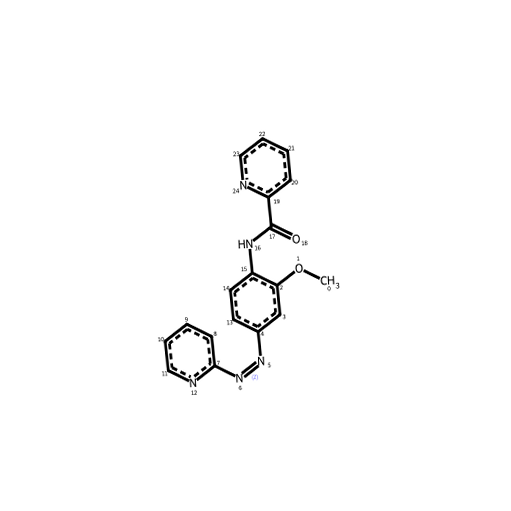 COc1cc(/N=N\c2ccccn2)ccc1NC(=O)c1ccccn1